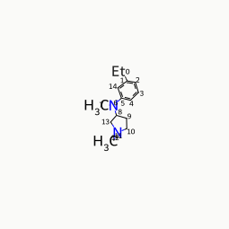 CCc1cccc(N(C)C2CCN(C)C2)c1